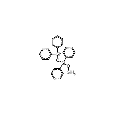 C[Si](O[Si](O[SiH3])(c1ccccc1)c1ccccc1)(c1ccccc1)c1ccccc1